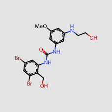 COc1cc(NCCO)cc(NC(=O)Nc2cc(Br)cc(Br)c2CO)c1